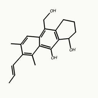 C/C=C/c1c(C)cc2c(CO)c3c(c(O)c2c1C)C(O)CCC3